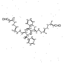 CC(=CC=O)CCC=C(C)CCC=C(C)C(OC(C(=O)c1ccccc1)C(C)=CCCC(C)=CCCC(C)=CC=O)C(=O)c1ccccc1